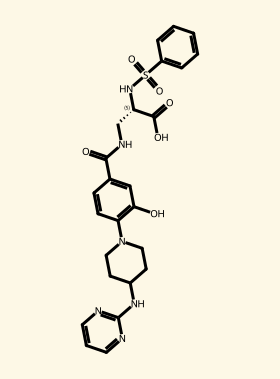 O=C(NC[C@H](NS(=O)(=O)c1ccccc1)C(=O)O)c1ccc(N2CCC(Nc3ncccn3)CC2)c(O)c1